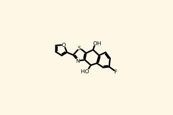 OC1c2cc(F)ccc2C(O)c2sc(-c3ccco3)nc21